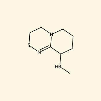 CBC1CCCN2CCSN=C12